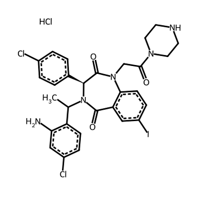 CC(c1ccc(Cl)cc1N)N1C(=O)c2cc(I)ccc2N(CC(=O)N2CCNCC2)C(=O)[C@@H]1c1ccc(Cl)cc1.Cl